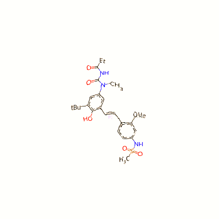 CCC(=O)NC(=O)N(C)c1cc(/C=C/c2ccc(NS(C)(=O)=O)cc2OC)c(O)c(C(C)(C)C)c1